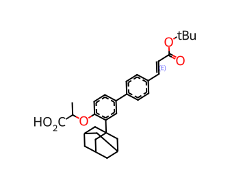 CC(Oc1ccc(-c2ccc(/C=C/C(=O)OC(C)(C)C)cc2)cc1C12CC3CC(CC(C3)C1)C2)C(=O)O